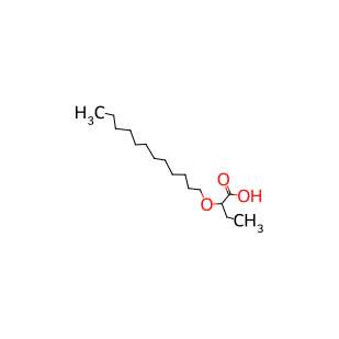 CCCCCCCCCCCCOC(CC)C(=O)O